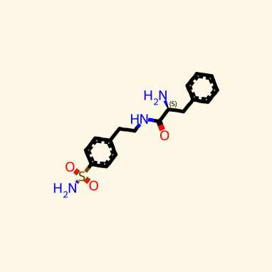 N[C@@H](Cc1ccccc1)C(=O)NCCc1ccc(S(N)(=O)=O)cc1